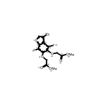 CCc1csc2c(F)c(OCC(=O)OC)c(OCC(=O)OC)c(F)c12